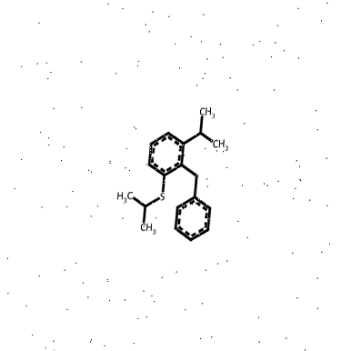 CC(C)Sc1[c]ccc(C(C)C)c1Cc1ccccc1